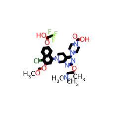 COCOc1cc(N2CCc3c(nc(O[C@H](C)CN(C)C)nc3N3CCN(C(=O)O)CC3)C2)c2ccccc2c1Cl.O=C(O)C(F)(F)F